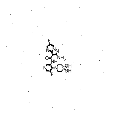 Nc1nn2cc(F)cnc2c1C(=O)Nc1cncc(F)c1N1CCS(O)(O)CC1